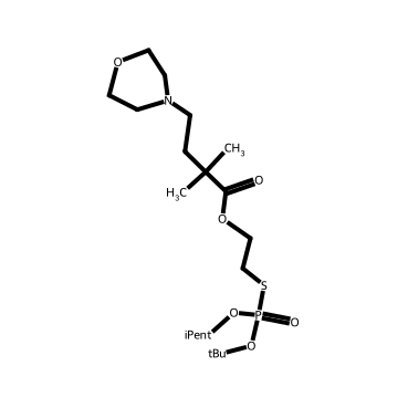 CCCC(C)OP(=O)(OC(C)(C)C)SCCOC(=O)C(C)(C)CCN1CCOCC1